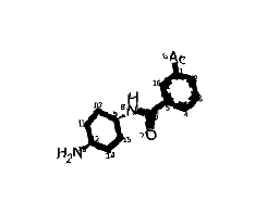 CC(=O)c1cccc(C(=O)N[C@H]2CC[C@H](N)CC2)c1